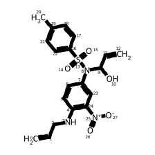 C=CCNc1ccc(N(C(O)C=C)S(=O)(=O)c2ccc(C)cc2)cc1[N+](=O)[O-]